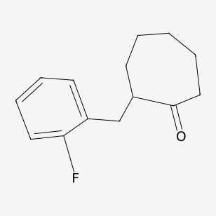 O=C1CCCCCC1Cc1ccccc1F